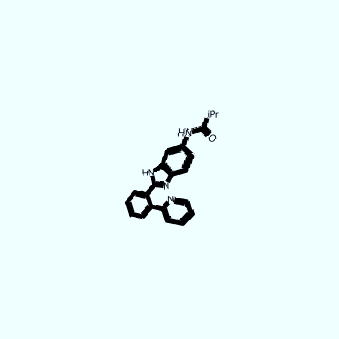 CC(C)C(=O)Nc1ccc2nc(-c3ccccc3-c3ccccn3)[nH]c2c1